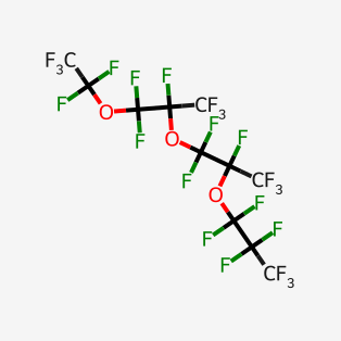 FC(F)(F)C(F)(F)OC(F)(F)C(F)(OC(F)(F)C(F)(OC(F)(F)C(F)(F)C(F)(F)F)C(F)(F)F)C(F)(F)F